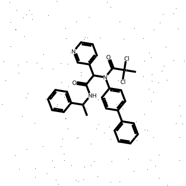 CC(NC(=O)C(c1cccnc1)N(C(=O)C(C)(Cl)Cl)c1ccc(-c2ccccc2)cc1)c1ccccc1